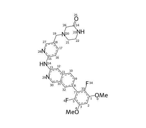 COc1cc(OC)c(F)c(-c2ccc3cc(Nc4ccc(CN5CCNC(=O)C5)cn4)ncc3c2)c1F